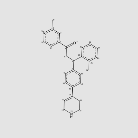 Cc1cc(C(=O)CC(c2ccc(C3=CCNCC3)cc2)c2ccccc2C)ccn1